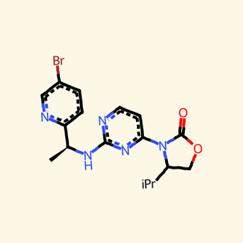 CC(C)C1COC(=O)N1c1ccnc(N[C@@H](C)c2ccc(Br)cn2)n1